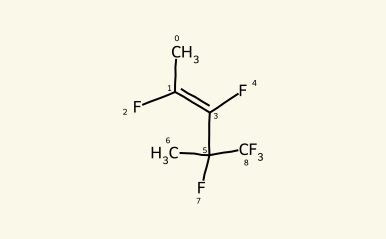 CC(F)=C(F)C(C)(F)C(F)(F)F